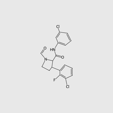 O=CN1CCC(c2cccc(Cl)c2F)C1C(=O)Nc1cccc(Cl)c1